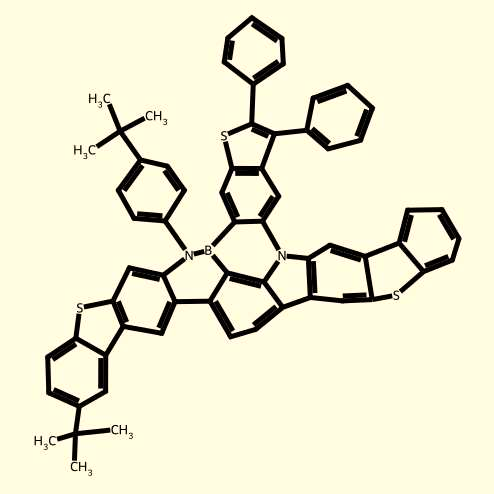 CC(C)(C)c1ccc(N2B3c4cc5sc(-c6ccccc6)c(-c6ccccc6)c5cc4-n4c5cc6c(cc5c5ccc(c3c54)-c3cc4c(cc32)sc2ccc(C(C)(C)C)cc24)sc2ccccc26)cc1